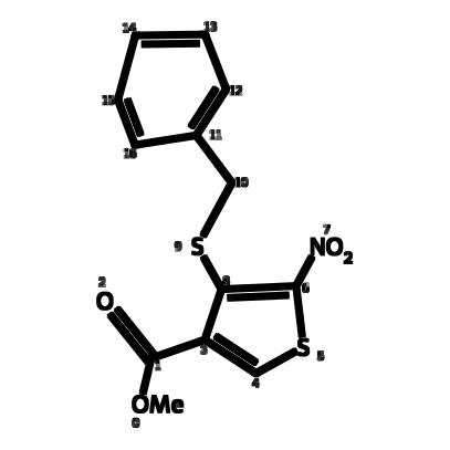 COC(=O)c1csc([N+](=O)[O-])c1SCc1ccccc1